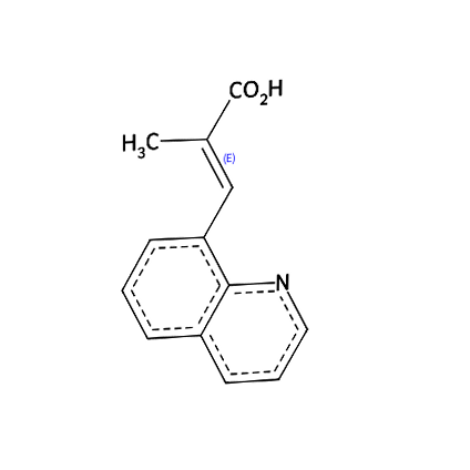 C/C(=C\c1cccc2cccnc12)C(=O)O